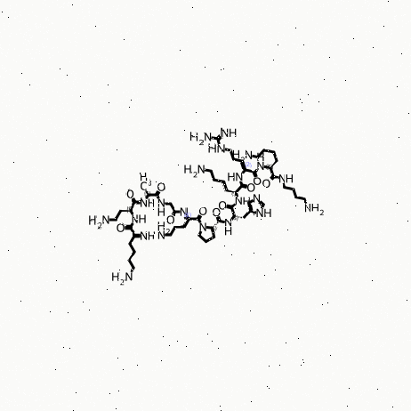 C[C@H](NC(=O)[C@H](CCN)NC(=O)C(=N)CCCCN)C(=O)NCC(=O)/N=C(\CCCN)C(=O)N1CCC[C@H]1C(=O)N[C@@H](Cc1cnc[nH]1)C(=O)N[C@@H](CCCCN)C(=O)N/C(=C\CCNC(=N)N)C(=O)N[C@@H](CCCCN)C(=O)NCCCCN